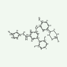 Cc1cccc(C)c1-c1cc(Oc2cc(C3CCN(C)CC3)ccc2F)nc(NSc2cnn(C)c2)n1